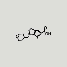 O=C(O)c1cnc2c(c1)CC[C@H]2CC1CCOCC1